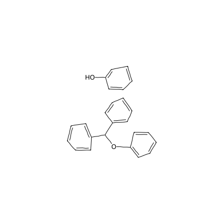 Oc1ccccc1.c1ccc(OC(c2ccccc2)c2ccccc2)cc1